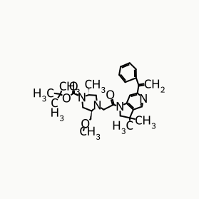 C=C(c1ccccc1)c1cc2c(cn1)C(C)(C)CN2C(=O)CN1C[C@@H](C)N(C(=O)OC(C)(C)C)C[C@@H]1COC